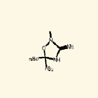 CCCCC1(CCCC)NC(=N)N(C)O1